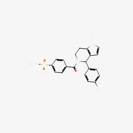 CS(=O)(=O)c1ccc(C(=O)N2CCc3sccc3C2c2ccc(Cl)cc2)cc1